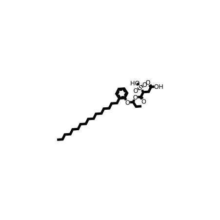 CCCCCCCCCCCCCCCCc1ccccc1OC(CC)OC(=O)C(CC(=O)O)S(=O)(=O)O